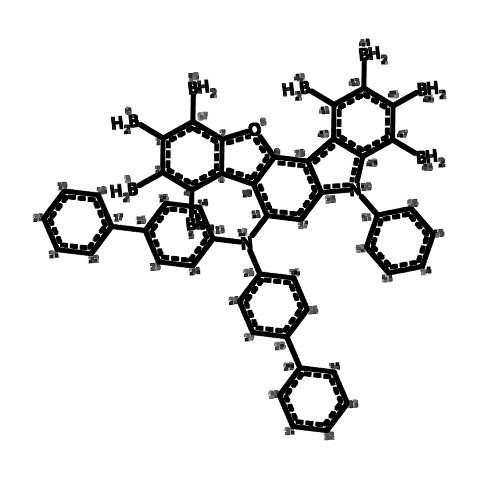 Bc1c(B)c(B)c2c(oc3c2c(N(c2ccc(-c4ccccc4)cc2)c2ccc(-c4ccccc4)cc2)cc2c3c3c(B)c(B)c(B)c(B)c3n2-c2ccccc2)c1B